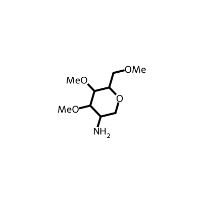 COCC1OCC(N)C(OC)C1OC